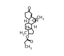 CCC(=O)OC1CC[C@H]2[C@@H]3CC(C)C4=CC(=O)CC[C@]4(CO)[C@@H]3CC[C@]12C